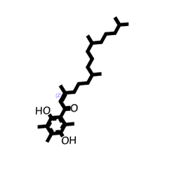 C/C(=C/C(=O)c1c(C)c(O)c(C)c(C)c1O)CCCC(C)CCCC(C)CCCC(C)C